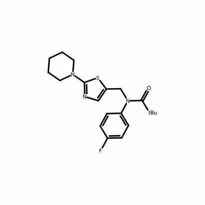 CC(C)(C)C(=O)N(Cc1cnc(N2CCCCC2)s1)c1ccc(F)cc1